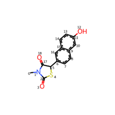 CN1C(=O)SC(c2ccc3cc(O)ccc3c2)C1=O